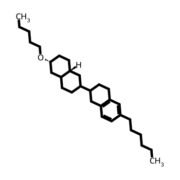 CCCCCCc1ccc2c(c1)CCC(C1CCC3C[C@H](OCCCCC)CC[C@@H]3C1)C2